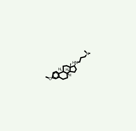 COc1ccc2c(c1)CC[C@@H]1[C@@H]2CC[C@]2(C)[C@@H](NCCCN(C)C)CC[C@@H]12